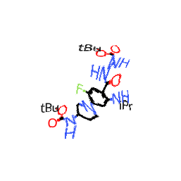 CC(C)Nc1cc(N2CCC(NC(=O)OC(C)(C)C)C2)c(F)cc1C(=O)NNC(=O)OC(C)(C)C